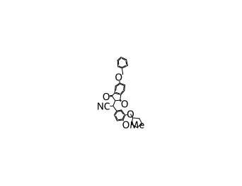 COc1ccc(C(C#N)C2C(=O)c3ccc(OCc4ccccc4)cc3C2=O)cc1OC1CCCC1